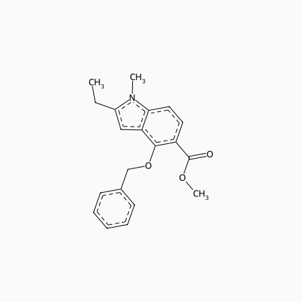 CCc1cc2c(OCc3ccccc3)c(C(=O)OC)ccc2n1C